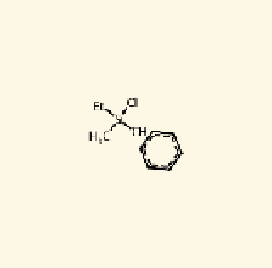 CC[Si](C)(C)Cl.c1ccccc1